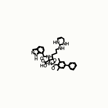 Cc1cc(-c2ccccc2)cc(C)c1S(=O)(=O)NC(CCCCNC1NC=CCN1)(NC(=O)c1cccc2cn[nH]c12)C(=O)O